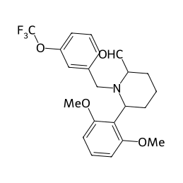 COc1cccc(OC)c1C1CCCC(C=O)N1Cc1cccc(OC(F)(F)F)c1